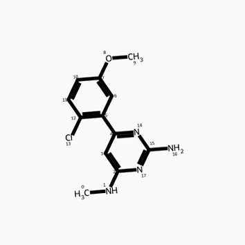 CNc1cc(-c2cc(OC)ccc2Cl)nc(N)n1